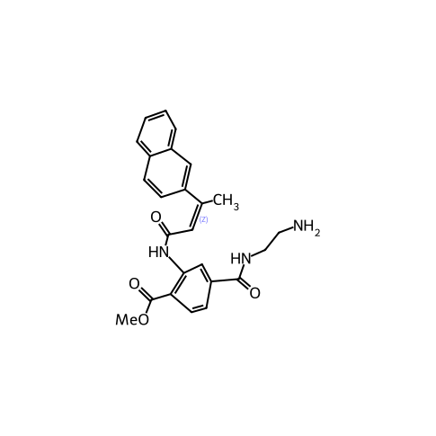 COC(=O)c1ccc(C(=O)NCCN)cc1NC(=O)/C=C(/C)c1ccc2ccccc2c1